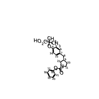 CC(C)(Oc1ccc(C[C@H]2CCN(C(=O)Oc3ccccc3)C2)cc1)C(=O)O